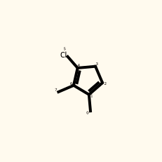 CC1=CCC(Cl)=C1C